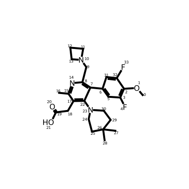 COc1c(F)cc(-c2c(CN3CCC3)nc(C)c(CC(=O)O)c2N2CCC(C)(C)CC2)cc1F